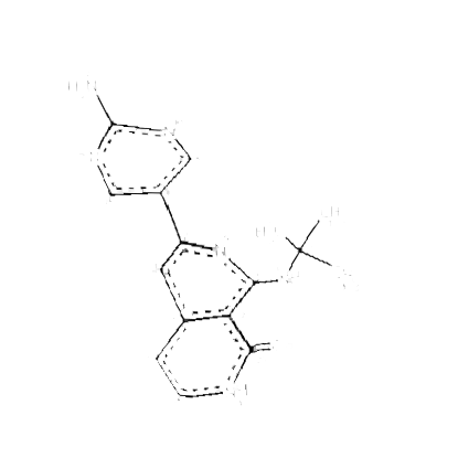 CC(C)(C)Nc1nc(-c2cnc(N)nc2)cc2cc[nH]c(=O)c12